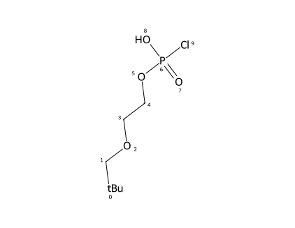 CC(C)(C)COCCOP(=O)(O)Cl